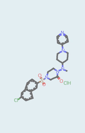 CN(C1CCN(c2ccncc2)CC1)N1CCN(S(=O)(=O)c2ccc3cc(Cl)ccc3c2)CC1=O.Cl